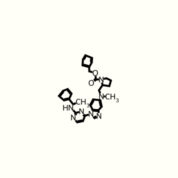 CC(Nc1nccc(-n2cnc3cc(N(C)CC4CCCN4C(=O)OCc4ccccc4)ccc32)n1)c1ccccc1